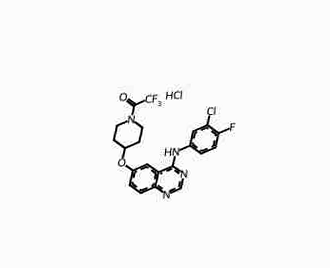 Cl.O=C(N1CCC(Oc2ccc3ncnc(Nc4ccc(F)c(Cl)c4)c3c2)CC1)C(F)(F)F